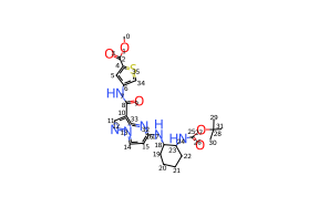 COC(=O)c1cc(NC(=O)c2cnn3ccc(N[C@@H]4CCCC[C@@H]4NC(=O)OC(C)(C)C)nc23)cs1